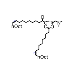 CCCCCCCC/C=C\CCCCCCCC(=O)OC[C@H](CN(C)C)OC(=O)CCCCCCC/C=C\CCCCCCCC